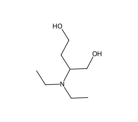 CCN(CC)C(CO)CCO